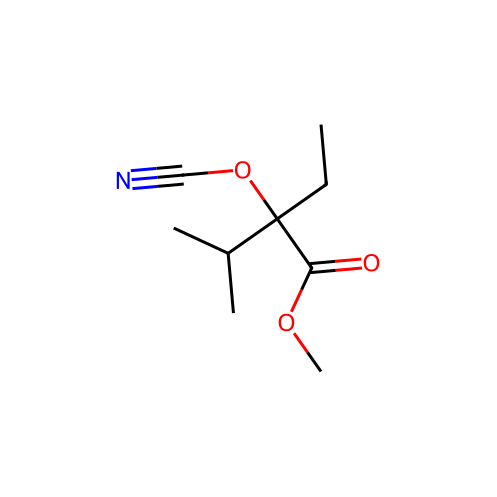 CCC(OC#N)(C(=O)OC)C(C)C